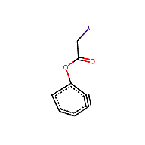 O=C(CI)Oc1c#cccc1